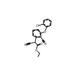 CCOC(=O)C(C#N)c1cccc(Oc2ccccc2Cl)c1C#N